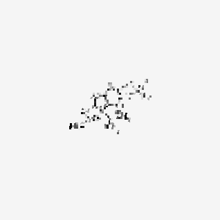 CCC(CC)(OC(C)=O)c1cccc(OC(F)(F)F)c1C